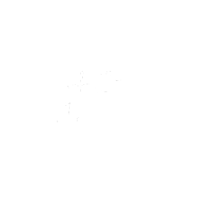 Cc1ccc(S(=O)(=O)O[Se]C(F)F)cc1